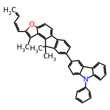 C=C/C=C\c1oc2ccc3c(c2c1C)C(C)(C)c1cc(-c2ccc4c(c2)c2ccccc2n4-c2ccccc2)ccc1-3